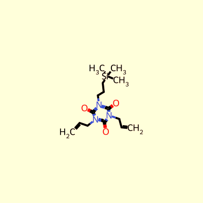 C=CCn1c(=O)n(CC=C)c(=O)n(CCC[Si](C)(C)C)c1=O